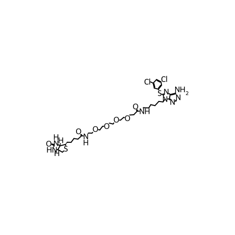 Nc1ncnc2c1nc(Sc1cc(Cl)cc(Cl)c1)n2CCCCCCNC(=O)CCOCCOCCOCCOCCNC(=O)CCCC[C@H]1SC[C@@H]2NC(=O)N[C@@H]21